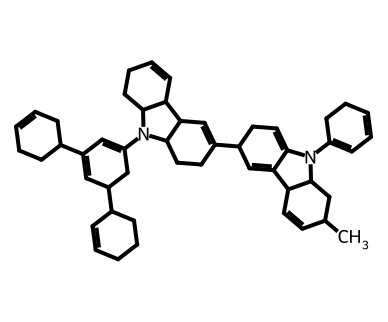 CC1C=CC2C3=CC(C4=CC5C6C=CCCC6N(C6=CC(C7CC=CCC7)=CC(C7C=CCCC7)C6)C5CC4)CC=C3N(C3=CC=CCC3)C2C1